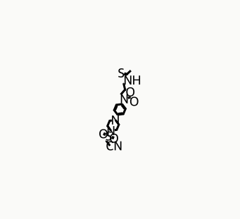 CC(=S)NCC1CN(c2ccc(N3CCN(S(=O)(=O)CC#N)CC3)cc2)C(=O)O1